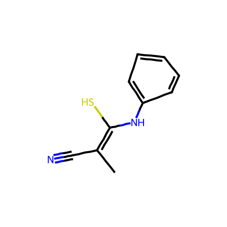 C/C(C#N)=C(/S)Nc1ccccc1